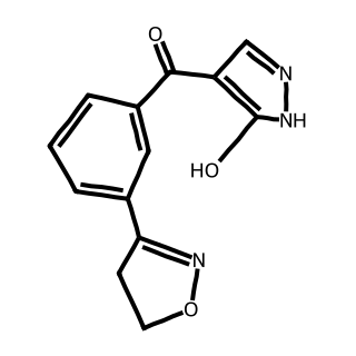 O=C(c1cccc(C2=NOCC2)c1)c1cn[nH]c1O